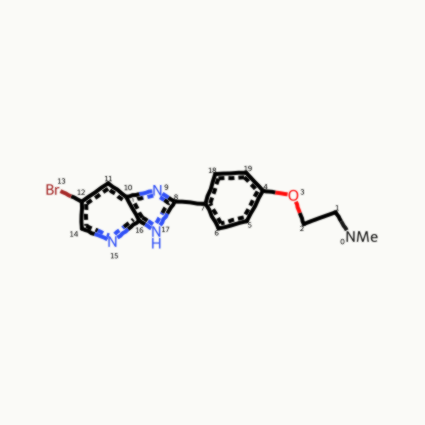 CNCCOc1ccc(-c2nc3cc(Br)cnc3[nH]2)cc1